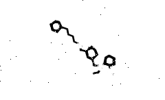 COc1ccccc1N1C(=O)CSC1c1cccc(C(=O)NCCCCc2ccccc2)c1